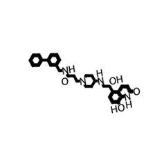 O=C(CCN1CCC(NCC(O)c2ccc(O)c3[nH]c(=O)ccc23)CC1)NCc1cccc(-c2ccccc2)c1